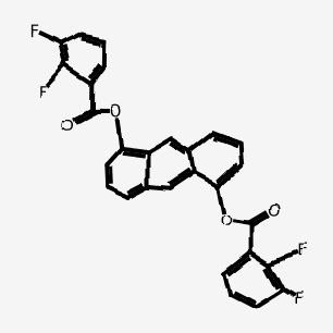 O=C(Oc1cccc2cc3c(OC(=O)c4cccc(F)c4F)cccc3cc12)c1cccc(F)c1F